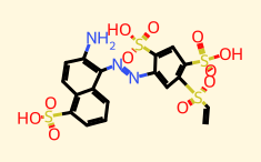 C=CS(=O)(=O)c1cc(N=Nc2c(N)ccc3c(S(=O)(=O)O)cccc23)c(S(=O)(=O)O)cc1S(=O)(=O)O